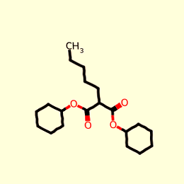 CCCCCC(C(=O)OC1CCCCC1)C(=O)OC1CCCCC1